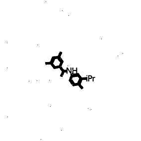 CC1=CC(C(C)Nc2ccc(C)c(C(C)C)c2)CC(C)=C1